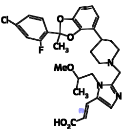 COC(C)Cn1c(/C=C/C(=O)O)cnc1CN1CCC(c2cccc3c2OC(C)(c2ccc(Cl)cc2F)O3)CC1